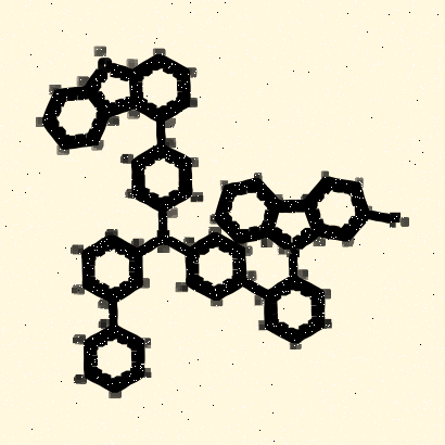 Fc1ccc2c3ccccc3n(-c3ccccc3-c3ccc(N(c4ccc(-c5cccc6oc7ccccc7c56)cc4)c4cccc(-c5ccccc5)c4)cc3)c2c1